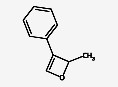 CC1OC=C1c1ccccc1